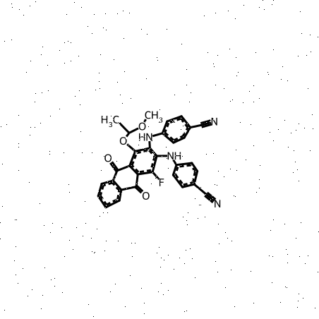 COC(C)Oc1c(Nc2ccc(C#N)cc2)c(Nc2ccc(C#N)cc2)c(F)c2c1C(=O)c1ccccc1C2=O